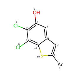 CC(=O)c1cc2cc(O)c(Cl)c(Cl)c2s1